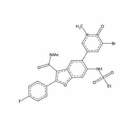 CCS(=O)(=O)Nc1cc2oc(-c3ccc(F)cc3)c(C(=O)NC)c2cc1-c1cc(Br)c(=O)n(C)c1